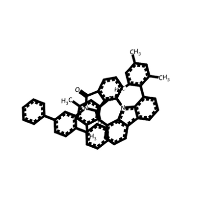 Cc1cc(C)c(-c2cccc3c4cccc(-c5c(C)cc(C)cc5C)c4n(-c4cccc5c4C(=O)N(c4cc(-c6ccccc6)ccc4-c4ccccc4)C5=O)c23)c(C)c1